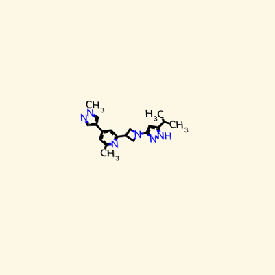 Cc1cc(-c2cnn(C)c2)cc(C2CN(c3cc(C(C)C)[nH]n3)C2)n1